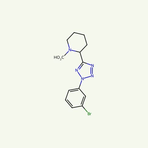 O=C(O)N1CCCCC1c1nnn(-c2cccc(Br)c2)n1